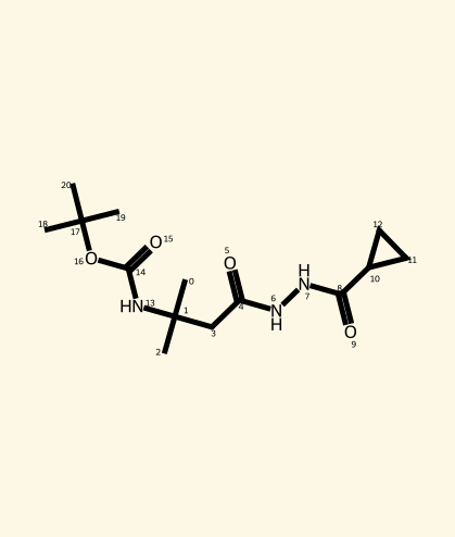 CC(C)(CC(=O)NNC(=O)C1CC1)NC(=O)OC(C)(C)C